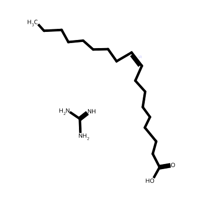 CCCCCCCC/C=C\CCCCCCCC(=O)O.N=C(N)N